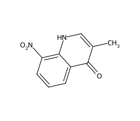 Cc1c[nH]c2c([N+](=O)[O-])cccc2c1=O